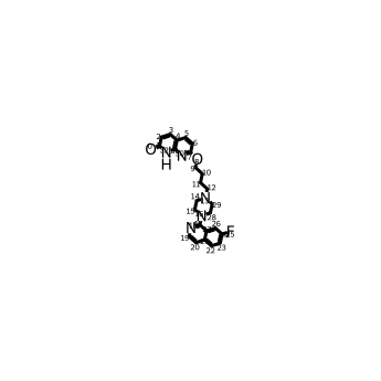 O=c1ccc2ccc(OCCCCN3CCN(c4nccc5ccc(F)cc45)CC3)nc2[nH]1